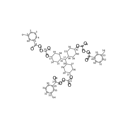 Cc1cccc(C(=O)OOC(=O)OC2CCC(C(C3CCC(OC(=O)OOC(=O)c4cccc(C)c4)CC3)C3CCC(OC(=O)OOC(=O)c4cccc(C)c4)CC3)CC2)c1